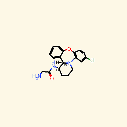 NCC(=O)N[C@@H]1CCCN2c3cc(Cl)ccc3Oc3ccccc3[C@@H]12